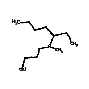 CCCCC(CC)N(C)CCCO